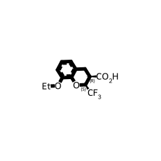 CCOc1cccc2c1O[C@H](C(F)(F)F)[C@H](C(=O)O)C2